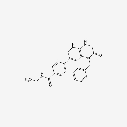 CCNC(=O)c1ccc(C2=CC3=C(NCC(=O)N3Cc3ccccc3)NC2)cc1